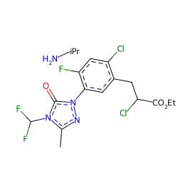 CC(C)N.CCOC(=O)C(Cl)Cc1cc(-n2nc(C)n(C(F)F)c2=O)c(F)cc1Cl